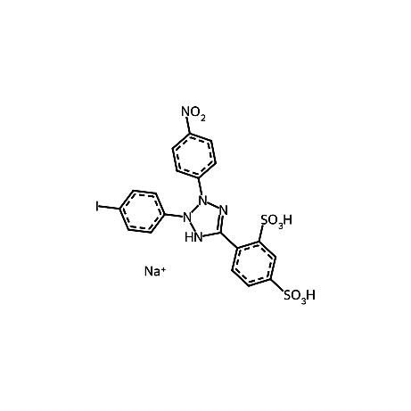 O=[N+]([O-])c1ccc(N2N=C(c3ccc(S(=O)(=O)O)cc3S(=O)(=O)O)NN2c2ccc(I)cc2)cc1.[Na+]